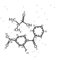 CN(C)C(=O)O.O=C(c1ccccc1)c1ccc([N+](=O)[O-])cc1F